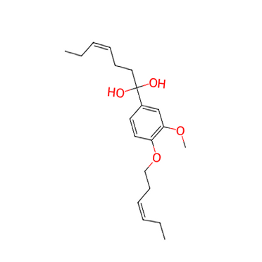 CC/C=C\CCOc1ccc(C(O)(O)CC/C=C\CC)cc1OC